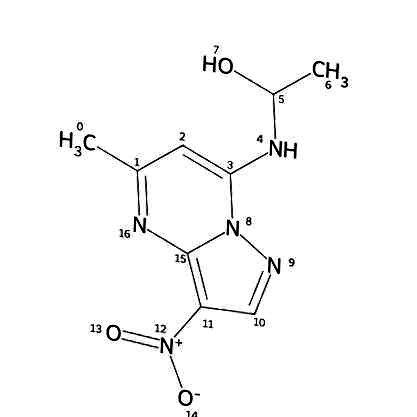 Cc1cc(NC(C)O)n2ncc([N+](=O)[O-])c2n1